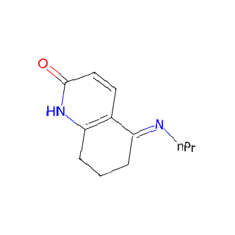 CCCN=C1CCCc2[nH]c(=O)ccc21